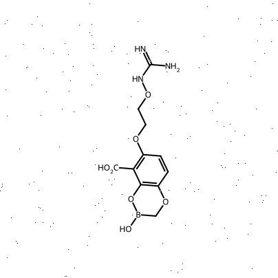 N=C(N)NOCCOc1ccc2c(c1C(=O)O)OB(O)CO2